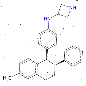 Cc1ccc2c(c1)CC[C@H](c1ccccc1)[C@@H]2c1ccc(NC2CNC2)cc1